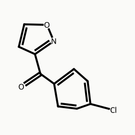 O=C(c1ccc(Cl)cc1)c1ccon1